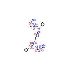 CN[C@@H](C)C(=O)N[C@H](C(=O)N1CCC[C@H]1CN(CCc1ccccc1)C(=O)CNC(=O)CCCCC(=O)NCC(=O)N(CCc1ccccc1)C[C@@H]1CCCN1C(=O)[C@@H](NC(=O)[C@H](C)NC)C(C)(C)C)C(C)(C)C